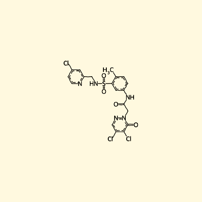 Cc1ccc(NC(=O)Cn2ncc(Cl)c(Cl)c2=O)cc1S(=O)(=O)NCc1cc(Cl)ccn1